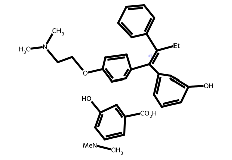 CC/C(=C(/c1ccc(OCCN(C)C)cc1)c1cccc(O)c1)c1ccccc1.CNC.O=C(O)c1cccc(O)c1